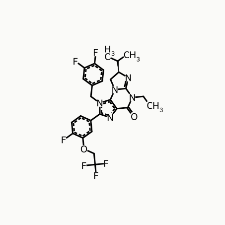 CCN1C(=O)c2nc(-c3ccc(F)c(OCC(F)(F)F)c3)n(Cc3ccc(F)c(F)c3)c2N2C[C@@H](C(C)C)N=C12